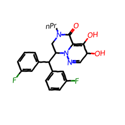 CCCN1CC(C(c2cccc(F)c2)c2cccc(F)c2)N2N=CC(O)C(O)=C2C1=O